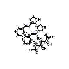 C(=C\[C@H]1CCNC1)/c1cncnc1.C(=C\[C@H]1CCNC1)/c1cncnc1.O=C(O)[C@@H](O)[C@H](O)[C@H](O)[C@@H](O)C(=O)O